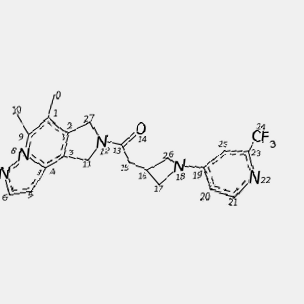 Cc1c2c(c3ccnn3c1C)CN(C(=O)CC1CN(c3ccnc(C(F)(F)F)c3)C1)C2